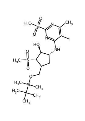 Cc1nc(S(C)(=O)=O)nc(N[C@@H]2CC(CO[Si](C)(C)C(C)(C)C)[C@H](S(C)(=O)=O)[C@H]2O)c1I